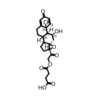 C[C@]12C=CC(=O)C=C1CC[C@@H]1[C@@H]2[C@@H](O)C[C@]23O[C@]2(C(=O)COC(=O)CCC(=O)O)CC[C@@H]13